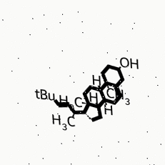 C[C@H](/C=C/C(C)(C)C)[C@H]1CC[C@H]2[C@@H]3CC=C4C[C@@H](O)CC[C@]4(C)[C@H]3CC[C@]12C